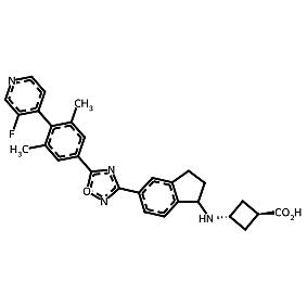 Cc1cc(-c2nc(-c3ccc4c(c3)CCC4N[C@H]3C[C@H](C(=O)O)C3)no2)cc(C)c1-c1ccncc1F